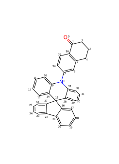 O=C1CCCc2cc(N3c4ccccc4C4(c5ccccc5-c5ccccc54)c4ccccc43)ccc21